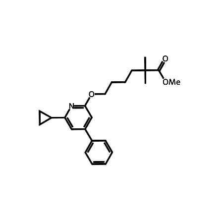 COC(=O)C(C)(C)CCCCOc1cc(-c2ccccc2)cc(C2CC2)n1